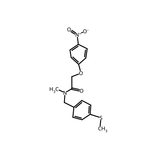 CSc1ccc(CN(C)C(=O)COc2ccc([N+](=O)[O-])cc2)cc1